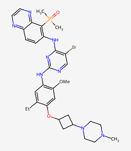 CCc1cc(Nc2ncc(Br)c(Nc3ccc4nccnc4c3P(C)(C)=O)n2)c(OC)cc1OC1CC(N2CCN(C)CC2)C1